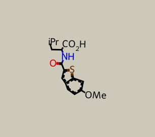 COc1ccc2cc(C(=O)NC(CC(C)C)C(=O)O)sc2c1